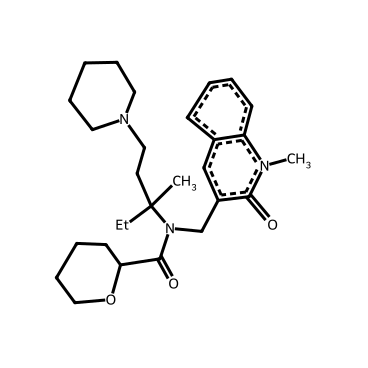 CCC(C)(CCN1CCCCC1)N(Cc1cc2ccccc2n(C)c1=O)C(=O)C1CCCCO1